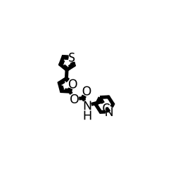 O=C(NC1CN2CCC1CC2)Oc1ccc(-c2ccsc2)o1